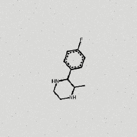 CC1NCCNC1c1ccc(F)cc1